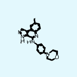 Cc1ccc2nc(Nc3ccc(N4CCOCC4)cc3)c3[nH]ncc3c2c1